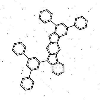 c1ccc(-c2cc(-c3ccccc3)cc(-n3c4ccccc4c4cc5c(cc43)oc3c(-c4ccccc4)cc(-c4ccccc4)cc35)c2)cc1